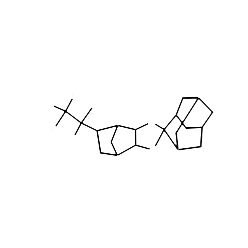 O=S(=O)(O)C(F)(F)C(F)(F)C1CC2CC1C1OC3(OC21)C1CC2CC(C1)CC3C2